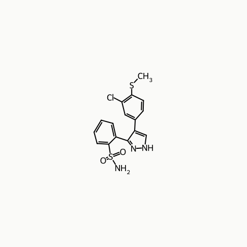 CSc1ccc(-c2c[nH]nc2-c2ccccc2S(N)(=O)=O)cc1Cl